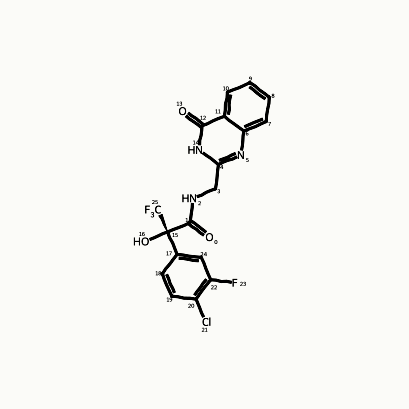 O=C(NCc1nc2ccccc2c(=O)[nH]1)[C@@](O)(c1ccc(Cl)c(F)c1)C(F)(F)F